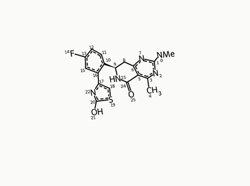 CNc1nc(C)c2c(n1)C[C@H](c1ccc(F)cc1-c1csc(O)n1)NC2=O